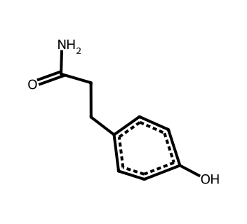 NC(=O)CCc1ccc(O)cc1